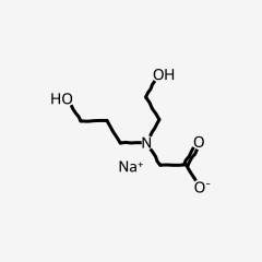 O=C([O-])CN(CCO)CCCO.[Na+]